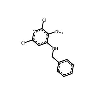 O=[N+]([O-])c1c(NCc2ccccc2)cc(Cl)nc1Cl